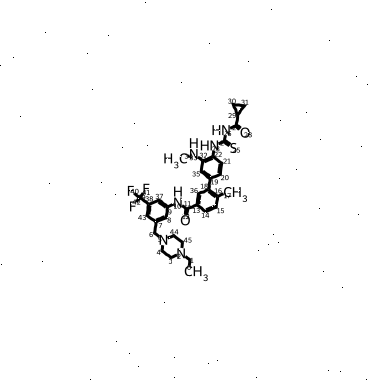 CCN1CCN(Cc2cc(NC(=O)c3ccc(C)c(-c4ccc(NC(=S)NC(=O)C5CC5)c(NC)c4)c3)cc(C(F)(F)F)c2)CC1